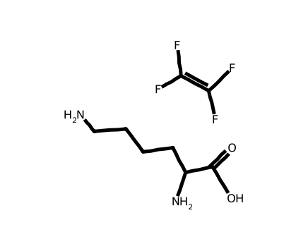 FC(F)=C(F)F.NCCCCC(N)C(=O)O